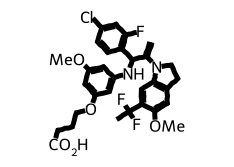 C=C(C(Nc1cc(OC)cc(OCCCC(=O)O)c1)c1ccc(Cl)cc1F)N1CCc2cc(OC)c(C(C)(F)F)cc21